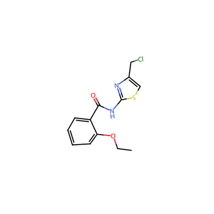 CCOc1ccccc1C(=O)Nc1nc(CCl)cs1